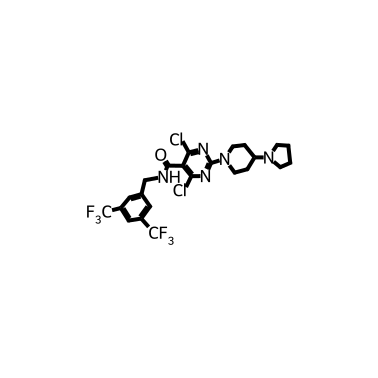 O=C(NCc1cc(C(F)(F)F)cc(C(F)(F)F)c1)c1c(Cl)nc(N2CCC(N3CCCC3)CC2)nc1Cl